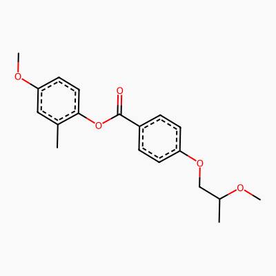 COc1ccc(OC(=O)c2ccc(OCC(C)OC)cc2)c(C)c1